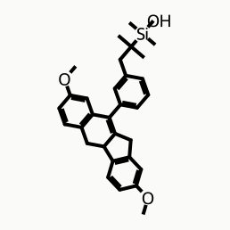 COc1ccc2c(c1)CC1=C(c3cccc(CC(C)(C)[Si](C)(C)O)c3)c3cc(OC)ccc3CC12